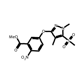 COC(=O)c1cc(Oc2nn(C)c(S(C)(=O)=O)c2C)ccc1[N+](=O)[O-]